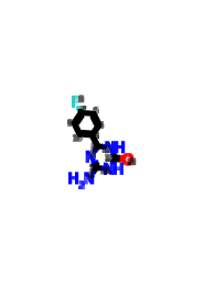 NC1=NC(c2ccc(F)cc2)NC(=O)N1